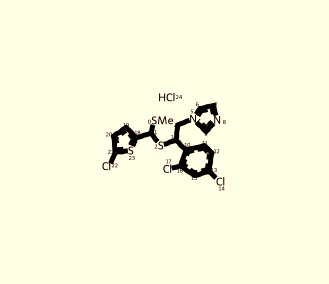 CSC(SC(Cn1ccnc1)c1ccc(Cl)cc1Cl)c1ccc(Cl)s1.Cl